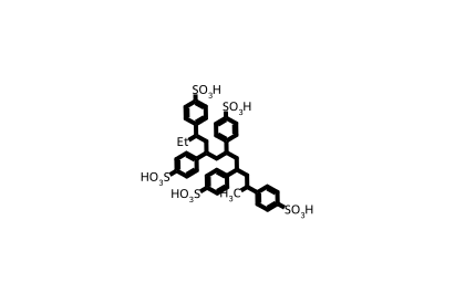 CCC(CC(CC(CC(CC(C)c1ccc(S(=O)(=O)O)cc1)c1ccc(S(=O)(=O)O)cc1)c1ccc(S(=O)(=O)O)cc1)c1ccc(S(=O)(=O)O)cc1)c1ccc(S(=O)(=O)O)cc1